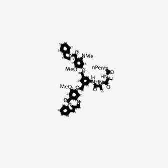 CCCCCC(=O)N[C@@H](C)C(=O)NC(C)C(=O)Nc1cc(COc2cc3c(cc2OC)C(=O)N2c4ccccc4CC2C=N3)cc(COc2cc(NC)c(C(=O)N3CCc4ccccc43)cc2OC)c1